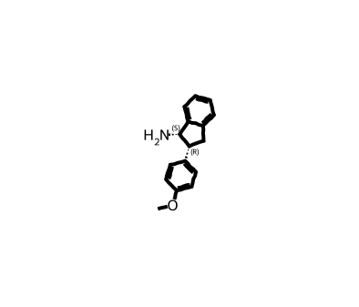 COc1ccc([C@H]2Cc3ccccc3[C@H]2N)cc1